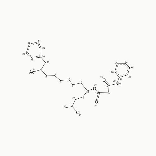 CC(=O)C(CCCCCCC(CCC(C)Cl)OC(=O)CC(=O)Nc1ccccc1)Cc1ccccc1